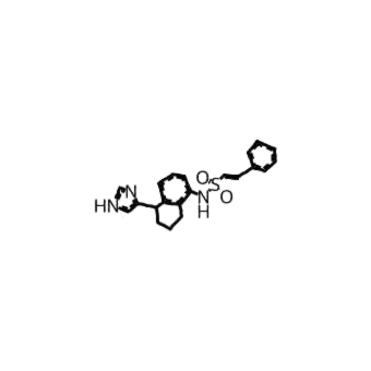 O=S(=O)(/C=C/c1ccccc1)Nc1cccc2c1CCCC2c1c[nH]cn1